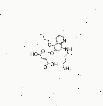 CCCCOc1c(OC)cc(NC(C)CCCN)c2ncccc12.O=C(O)C=CC(=O)O